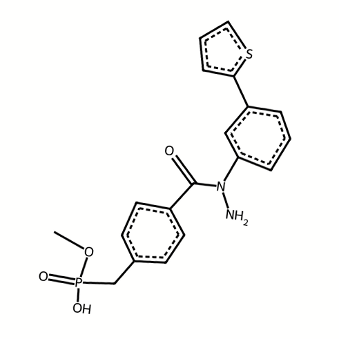 COP(=O)(O)Cc1ccc(C(=O)N(N)c2cccc(-c3cccs3)c2)cc1